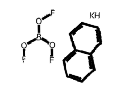 FOB(OF)OF.[KH].c1ccc2ccccc2c1